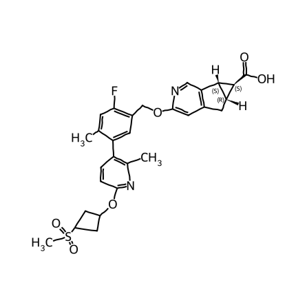 Cc1cc(F)c(COc2cc3c(cn2)[C@H]2[C@@H](C3)[C@@H]2C(=O)O)cc1-c1ccc(OC2CC(S(C)(=O)=O)C2)nc1C